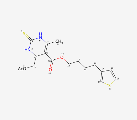 CC(=O)OCC1NC(=S)NC(C)=C1C(=O)OCCCCc1ccsc1